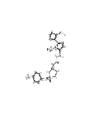 Cc1ncsc1-c1nnc(SCCCN2CC[C@]3(C[C@H]3c3ccc(C(F)(F)F)cc3)C2)n1C